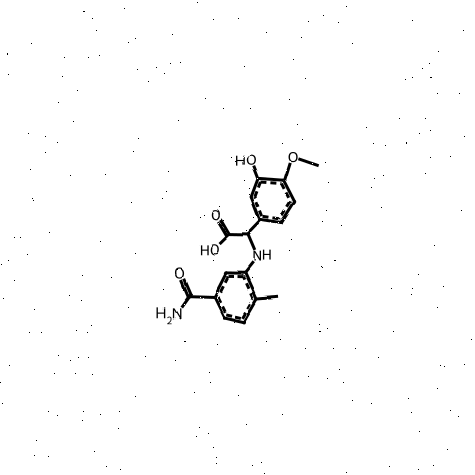 COc1ccc(C(Nc2cc(C(N)=O)ccc2C)C(=O)O)cc1O